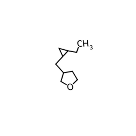 CCC1CC1CC1CCOC1